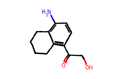 Nc1ccc(C(=O)CO)c2c1CCCC2